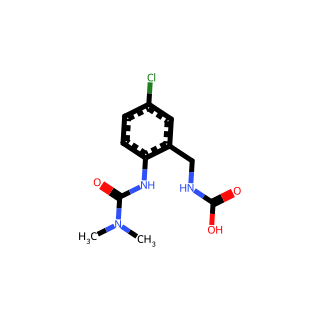 CN(C)C(=O)Nc1ccc(Cl)cc1CNC(=O)O